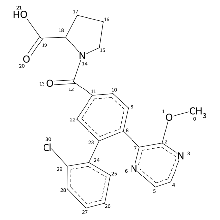 COc1nccnc1-c1ccc(C(=O)N2CCCC2C(=O)O)cc1-c1ccccc1Cl